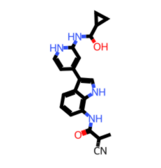 CC(C#N)C(=O)Nc1cccc2c(C3=CC(NC(O)C4CC4)NC=C3)c[nH]c12